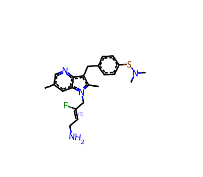 Cc1cnc2c(Cc3ccc(SN(C)C)cc3)c(C)n(C/C(F)=C/CN)c2c1